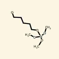 CO[Si](OC)(OC)OCCCCC[O]